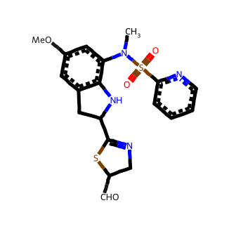 COc1cc2c(c(N(C)S(=O)(=O)c3ccccn3)c1)NC(C1=NCC(C=O)S1)C2